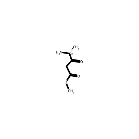 COC(=O)CC(=O)[C@@H](C)N